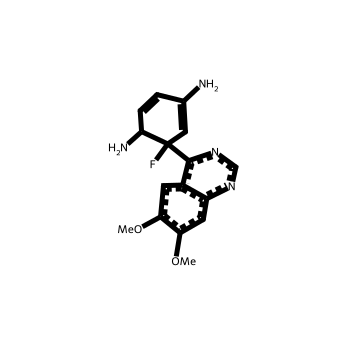 COc1cc2ncnc(C3(F)C=C(N)C=CC3N)c2cc1OC